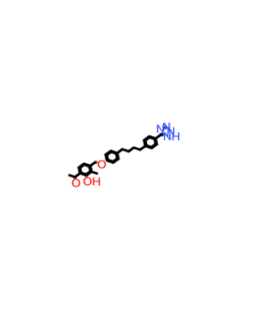 CC(=O)c1ccc(COc2ccc(CCCCc3ccc(-c4nnn[nH]4)cc3)cc2)c(C)c1O